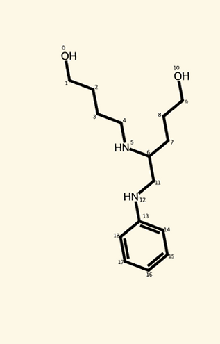 OCCCCNC(CCCO)CNc1ccccc1